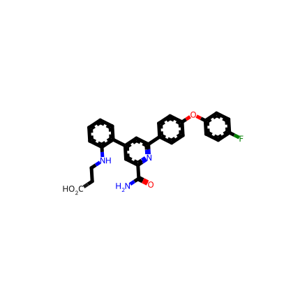 NC(=O)c1cc(-c2ccccc2NCCC(=O)O)cc(-c2ccc(Oc3ccc(F)cc3)cc2)n1